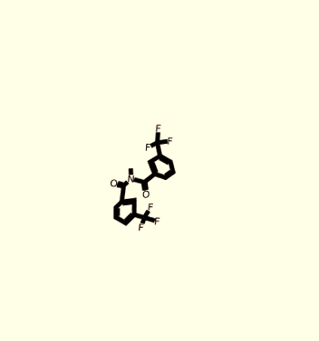 CN(C(=O)c1cccc(C(F)(F)F)c1)C(=O)c1cccc(C(F)(F)F)c1